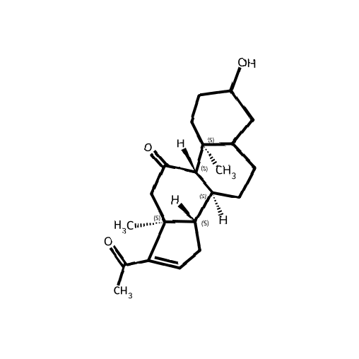 CC(=O)C1=CC[C@H]2[C@@H]3CCC4CC(O)CC[C@]4(C)[C@H]3C(=O)C[C@]12C